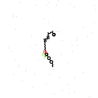 CCCC1CCC(C2CCC(c3ccc(OCCCCCCCC[Si](C)(C)CC[Si](C)(C)CCC(C)CCC(C)c4ccccc4)c(F)c3F)CC2)CC1